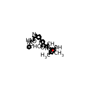 Cc1c(-c2ccc(-c3ccc4cncc(C(=O)Nc5nc6ccccc6s5)c4c3)nc2C(=O)O)cnn1CC12CC3(C)CC(C)(CC(O)(C3)C1)C2